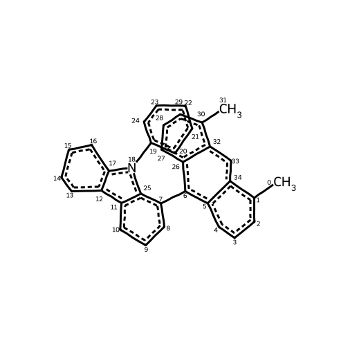 Cc1cccc2c(-c3cccc4c5ccccc5n(-c5ccccc5)c34)c3cccc(C)c3cc12